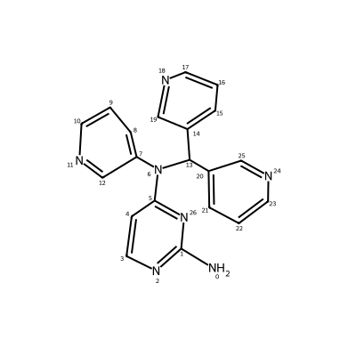 Nc1nccc(N(c2cccnc2)C(c2cccnc2)c2cccnc2)n1